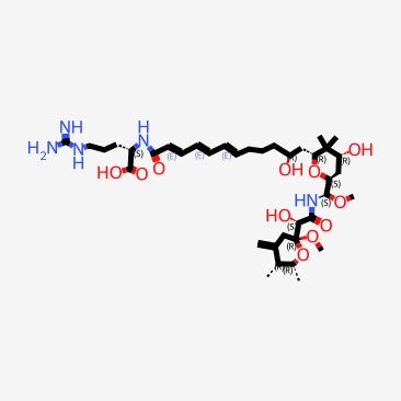 C=C1C[C@](OC)([C@H](O)C(=O)N[C@@H](OC)[C@@H]2C[C@@H](O)C(C)(C)[C@@H](C[C@H](O)CCC/C=C/C=C/C=C/C(=O)N[C@@H](CCCNC(=N)N)C(=O)O)O2)O[C@H](C)[C@@H]1C